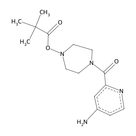 CC(C)(C)C(=O)ON1CCN(C(=O)c2cc(N)ccn2)CC1